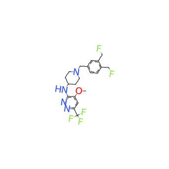 COc1cc(C(F)(F)F)nnc1NC1CCN(Cc2ccc(CF)c(CF)c2)CC1